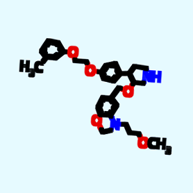 COCCCN1CCOc2ccc(COC3CNCCC3c3ccc(OCCOc4cccc(C)c4)cc3)cc21